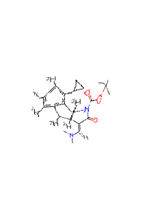 [2H]/C(=C1\C(=O)N(C(=O)OC(C)(C)C)C2([2H])c3c(C4CC4)c([2H])c([2H])c([2H])c3C([2H])C12[2H])N(C)C